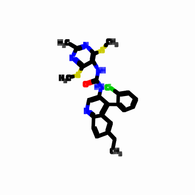 CCc1ccc2ncc(NC(=O)Nc3c(SC)nc(C)nc3SC)c(-c3ccccc3Cl)c2c1